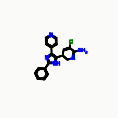 NC1=NCC(c2[nH]c(-c3ccccc3)nc2-c2ccncc2)C=C1Cl